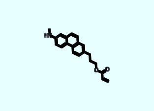 C=CC(=O)OCCCc1ccc2c(ccc3cc(NC)ccc32)c1